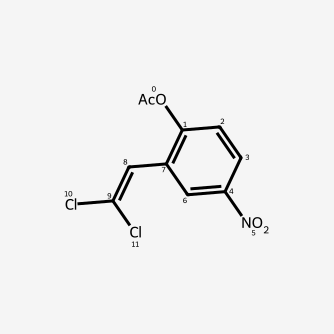 CC(=O)Oc1ccc([N+](=O)[O-])cc1C=C(Cl)Cl